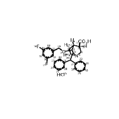 Cl.O=C(O)[C@@H]1CN2CC[C@H]1[C@H](OCc1cc(F)cc(F)c1)[C@@H]2C(c1ccccc1)c1ccccc1